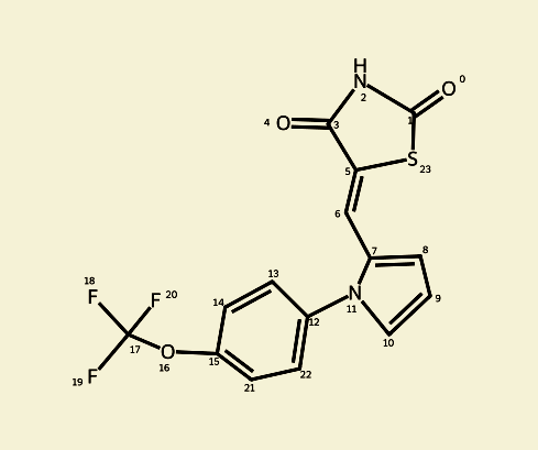 O=C1NC(=O)C(=Cc2cccn2-c2ccc(OC(F)(F)F)cc2)S1